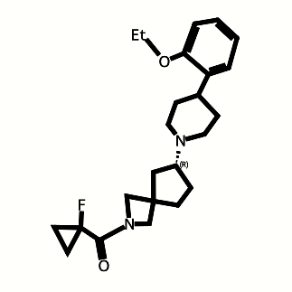 CCOc1ccccc1C1CCN([C@@H]2CCC3(C2)CN(C(=O)C2(F)CC2)C3)CC1